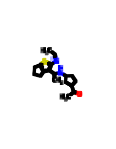 C=C(NC1CCC(C(C)=O)C1)c1c(/N=C\C)sc2c1CCC2